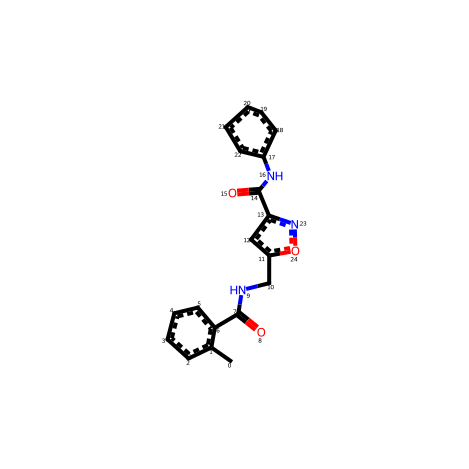 Cc1ccccc1C(=O)NCc1cc(C(=O)Nc2ccccc2)no1